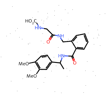 COc1ccc(C(C)NC(=O)c2ccccc2CNC(=O)CNC(=O)O)cc1OC